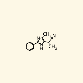 Cc1nc(-c2ccccc2)[nH]c1C(C)C#N